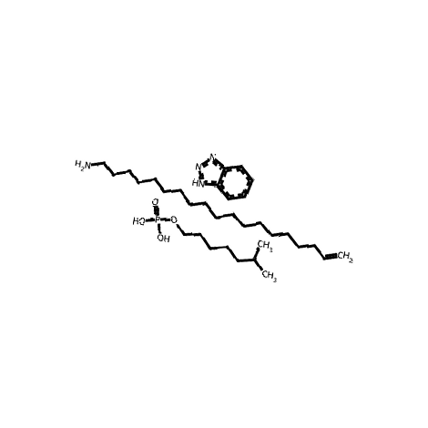 C=CCCCCCCCCCCCCCCCCCN.CC(C)CCCCCOP(=O)(O)O.c1ccc2[nH]nnc2c1